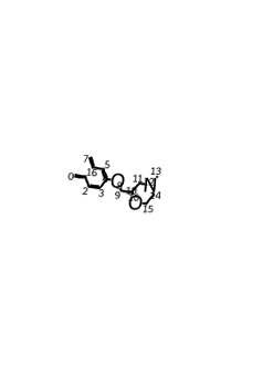 C=C/C=C\C(=C/C=C)OCC1CN(C)CCO1